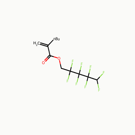 C=C(CCCC)C(=O)OCC(F)(F)C(F)(F)C(F)(F)C(F)F